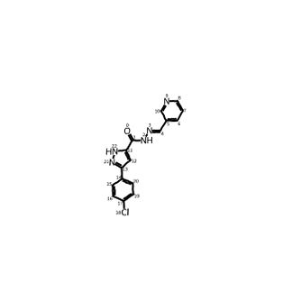 O=C(N/N=C/c1cccnc1)c1cc(-c2ccc(Cl)cc2)n[nH]1